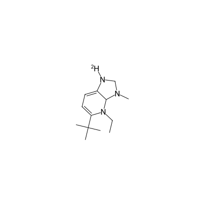 [2H]N1CN(C)C2C1=CC=C(C(C)(C)C)N2CC